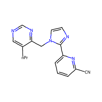 CCCc1cncnc1Cn1ccnc1-c1cccc(C#N)n1